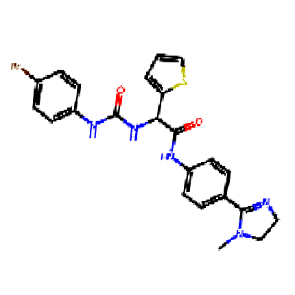 CN1CCN=C1c1ccc(NC(=O)C(NC(=O)Nc2ccc(Br)cc2)c2cccs2)cc1